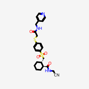 N#CCNC(=O)[C@H]1CCCC[C@@H]1CS(=O)(=O)c1ccc(SCC(=O)NCc2ccncc2)cc1